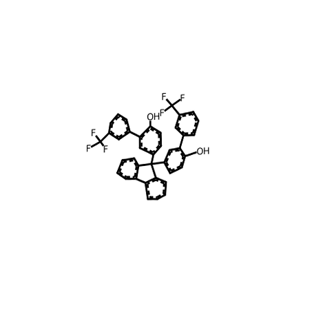 Oc1ccc(C2(c3ccc(O)c(-c4cccc(C(F)(F)F)c4)c3)c3ccccc3-c3ccccc32)cc1-c1cccc(C(F)(F)F)c1